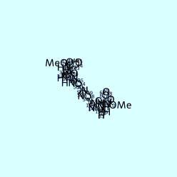 COC(=O)N[C@H](C(=O)N1[C@@H]2C[C@@H]2C[C@H]1c1ncc(-c2ccc3nc(-c4ccc5nc([C@@H]6C[C@H]7C[C@H]7N6C(=O)[C@@H](NC(=O)OC)C6CCOCC6)[nH]c5c4)cnc3c2)[nH]1)C1CCOCC1